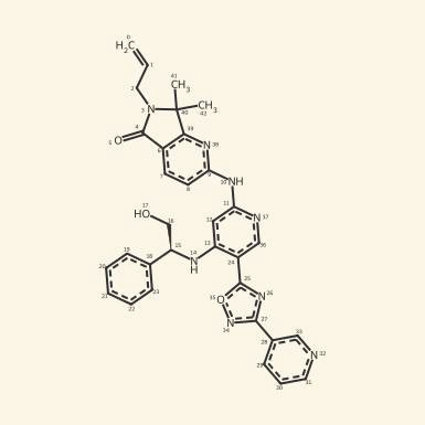 C=CCN1C(=O)c2ccc(Nc3cc(N[C@H](CO)c4ccccc4)c(-c4nc(-c5cccnc5)no4)cn3)nc2C1(C)C